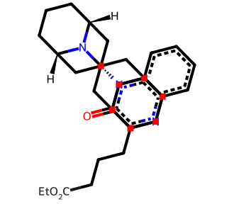 CCOC(=O)CCCc1nc2ccccc2n([C@H]2C[C@H]3CCC[C@@H](C2)N3C2CC3CCCC(C3)C2)c1=O